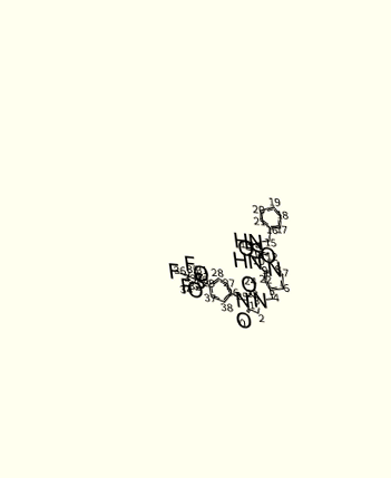 O=C1CN(Cc2ccnc(NS(=O)(=O)NCc3ccccc3)c2)C(=O)N1c1ccc(S(=O)(=O)C(F)(F)F)cc1